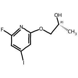 C[C@@H](O)COc1cc(I)cc(F)n1